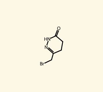 O=C1CCC(CBr)=NN1